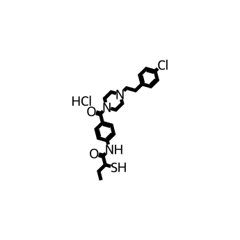 CCC(S)C(=O)Nc1ccc(C(=O)N2CCN(CCc3ccc(Cl)cc3)CC2)cc1.Cl